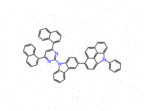 c1ccc(-n2c3cccc4ccc5c(-c6ccc7c(c6)c6ccccc6n7-c6nc(-c7cccc8ccccc78)cc(-c7cccc8ccccc78)n6)ccc2c5c43)cc1